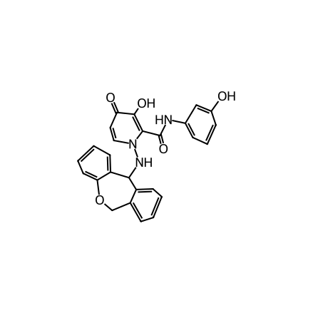 O=C(Nc1cccc(O)c1)c1c(O)c(=O)ccn1NC1c2ccccc2COc2ccccc21